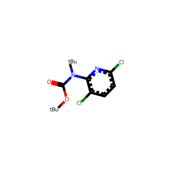 CC(C)(C)OC(=O)N(c1nc(Cl)ccc1Cl)C(C)(C)C